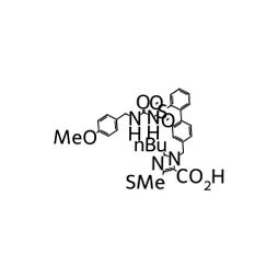 CCCCc1nc(SC)c(C(=O)O)n1Cc1ccc(-c2ccccc2S(=O)(=O)NC(=O)NCc2ccc(OC)cc2)cc1